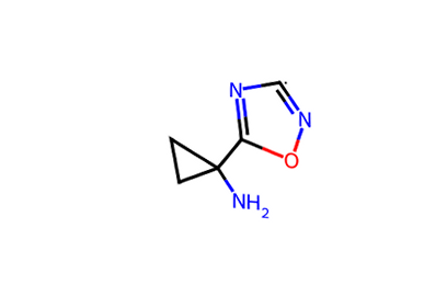 NC1(c2n[c]no2)CC1